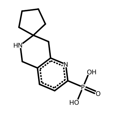 O=P(O)(O)c1ccc2c(n1)CC1(CCCC1)NC2